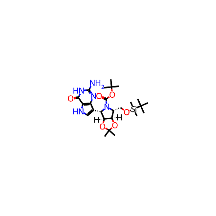 CC(C)(C)OC(=O)N1[C@H](CO[Si](C)(C)C(C)(C)C)[C@H]2OC(C)(C)O[C@H]2[C@@H]1c1c[nH]c2c(=O)[nH]c(N)nc12